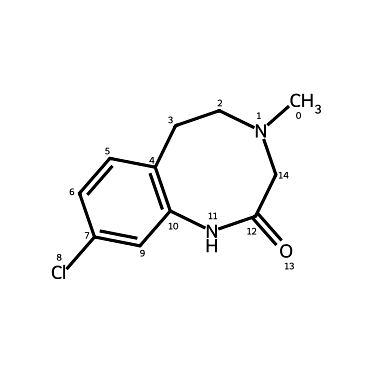 CN1CCc2ccc(Cl)cc2NC(=O)C1